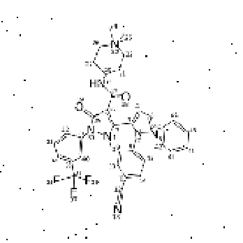 Cn1c(-c2ccnn2-c2ccc(C#N)cc2)c(C(=O)NC2CC[N+](C)(C)CC2)c(=O)n1-c1cccc(C(F)(F)F)c1.c1ccccc1